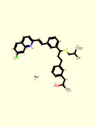 CCC(CSC(CCc1cccc(CC(C)O)c1)c1cccc(C=Cc2ccc3ccc(Cl)cc3n2)c1)C(=O)[O-].[Na+]